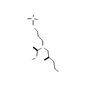 CC(C)CCC(=N)CN(CCCO[Si](C)(C)C(C)(C)C)C(=O)OC(C)(C)C